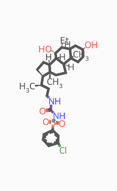 CC[C@H]1[C@@H](O)[C@@H]2[C@H](CC[C@]3(C)[C@@H]([C@H](C)CCNC(=O)NS(=O)(=O)c4cccc(Cl)c4)CC[C@@H]23)[C@@]2(C)CC[C@@H](O)C[C@@H]12